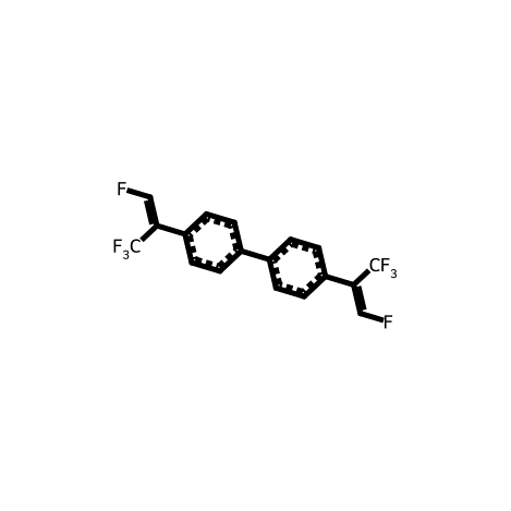 F/C=C(/c1ccc(-c2ccc(/C(=C/F)C(F)(F)F)cc2)cc1)C(F)(F)F